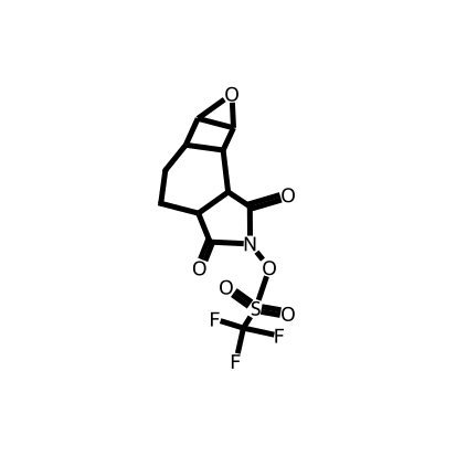 O=C1C2CCC3C4OC4C3C2C(=O)N1OS(=O)(=O)C(F)(F)F